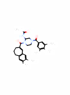 COC(=O)NC1CN(C(=O)c2cc(OC)c(OC)c(OC)c2)CCN1C(=O)C1=Cc2cc(OC)c(OC)cc2CCC1